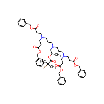 CC(CN(CCCN(CCC(=O)OCc1ccccc1)CCC(=O)OCc1ccccc1)CCCN(CCC(=O)OCc1ccccc1)CCC(=O)OCc1ccccc1)OC(=O)C(C)(C)Br